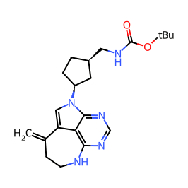 C=C1CCNc2ncnc3c2c1cn3[C@H]1CC[C@@H](CNC(=O)OC(C)(C)C)C1